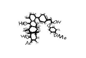 COC1CCC(OC(O)CC2CCC(C3CCC(C)C4C(O)C5C(C)C6(C)C(O)C(C(C)=O)=C(C)CC6(C)CC5(C)CC34)CC2)CC1